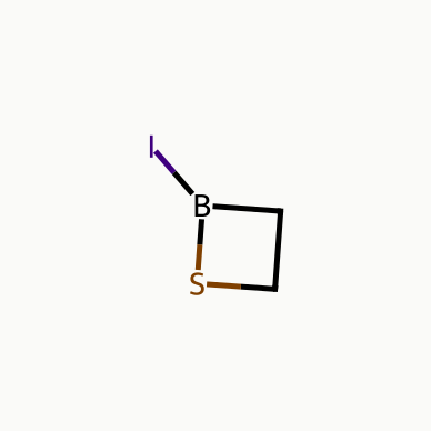 IB1CCS1